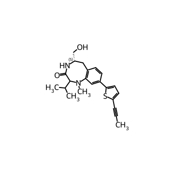 CC#Cc1ccc(-c2ccc3c(c2)N(C)C(C(C)C)C(=O)N[C@H](CO)C3)s1